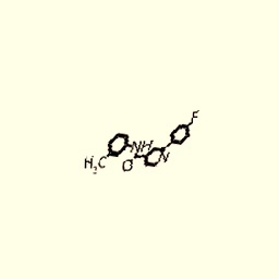 Cc1cccc(NC(=O)c2ccnc(-c3ccc(F)cc3)c2)c1